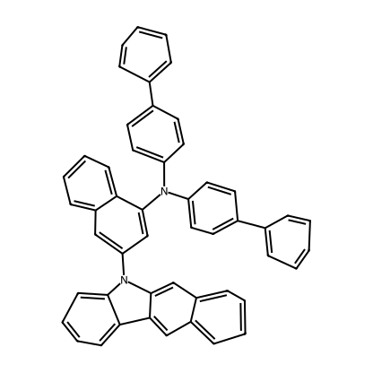 c1ccc(-c2ccc(N(c3ccc(-c4ccccc4)cc3)c3cc(-n4c5ccccc5c5cc6ccccc6cc54)cc4ccccc34)cc2)cc1